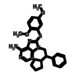 COc1ccc(OC)c(Sc2nc3c(N)ncnc3n2CC(c2ccccc2)C2CCCC2)c1